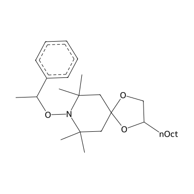 CCCCCCCCC1COC2(CC(C)(C)N(OC(C)c3ccccc3)C(C)(C)C2)O1